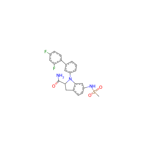 CS(=O)(=O)Nc1ccc2c(c1)N(c1cccc(-c3ccc(F)cc3F)c1)C(C(N)=O)C2